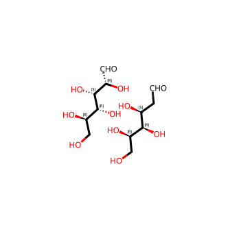 O=CC[C@H](O)[C@@H](O)[C@H](O)CO.O=C[C@H](O)[C@@H](O)[C@H](O)[C@H](O)CO